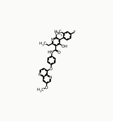 CCc1nc(C)c(-c2ccc(F)cc2C)c(O)c1C(=O)Nc1ccc(Oc2ccnc3cc(OC)cnc23)cc1